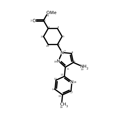 COC(=O)C1CCC(n2cc(N)c(-c3ccc(C)cn3)n2)CC1